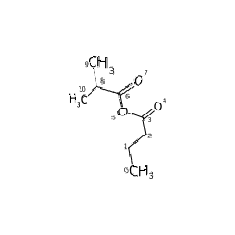 CCCC(=O)OC(=O)C(C)C